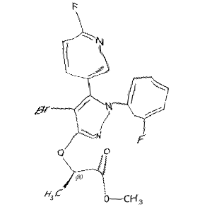 COC(=O)[C@@H](C)Oc1nn(-c2ccccc2F)c(-c2ccc(F)nc2)c1Br